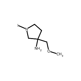 COCC1(N)CCN(I)C1